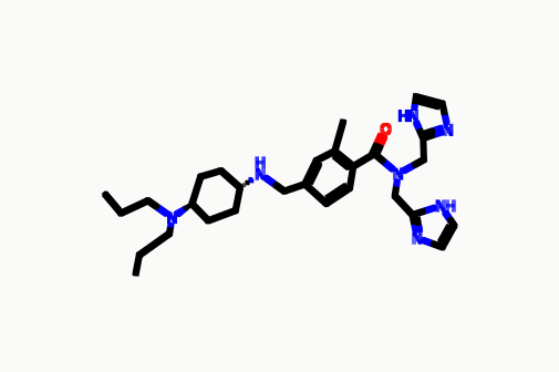 CCCN(CCC)[C@H]1CC[C@H](NCc2ccc(C(=O)N(Cc3ncc[nH]3)Cc3ncc[nH]3)c(C)c2)CC1